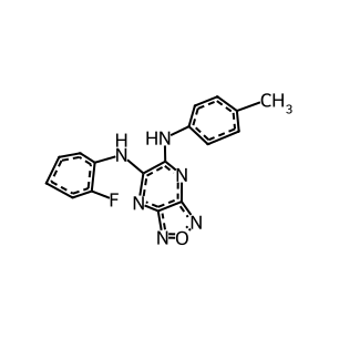 Cc1ccc(Nc2nc3nonc3nc2Nc2ccccc2F)cc1